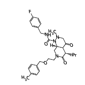 CCC[C@H]1C(=O)N(CCOCc2ccc(C)cc2)C[C@H]2C1C(=O)CN(C)N2C(=O)NCc1ccc(F)cc1